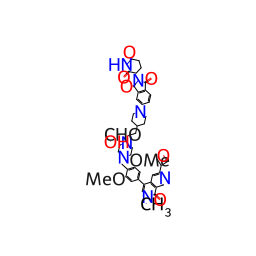 COc1cc(-c2cn(C)c(=O)c3cnc(C4COC4)cc23)cc(OC)c1CN1CCN(CCC2CCN(c3ccc4c(c3)C(=O)N(C3CCC(=O)NC3=O)C4=O)CC2)CC1.O=CO